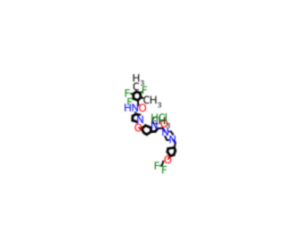 Cc1c(F)c(C)c(C(=O)Nc2ccc(Oc3ccc4cc(C(=O)N5CCN(Cc6ccc(OCC(F)F)cc6)CC5)n(C)c4c3)nc2)c(F)c1F.Cl